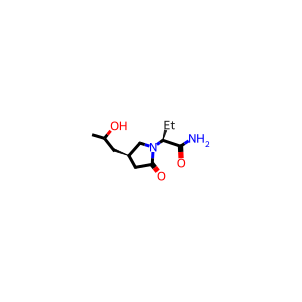 CC[C@@H](C(N)=O)N1C[C@H](CC(C)O)CC1=O